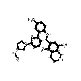 Cc1ccc(OCc2cc(C)c3c(c2C)CCNC3)c(-c2cccc(N3CC[C@@H](CO)C3)n2)c1